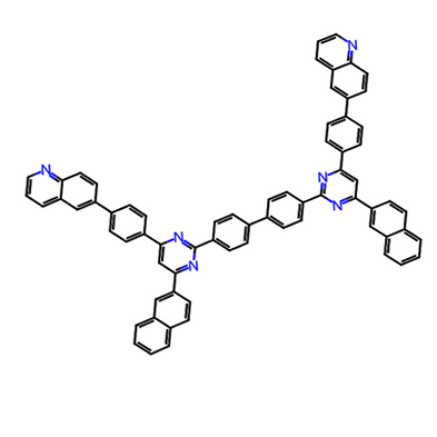 c1ccc2cc(-c3cc(-c4ccc(-c5ccc6ncccc6c5)cc4)nc(-c4ccc(-c5ccc(-c6nc(-c7ccc(-c8ccc9ncccc9c8)cc7)cc(-c7ccc8ccccc8c7)n6)cc5)cc4)n3)ccc2c1